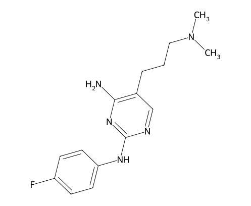 CN(C)CCCc1cnc(Nc2ccc(F)cc2)nc1N